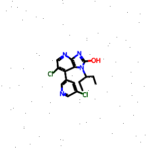 CCC(CC)n1c(O)nc2ncc(Cl)c(-c3cncc(Cl)c3)c21